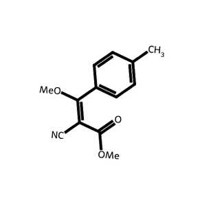 COC(=O)C(C#N)=C(OC)c1ccc(C)cc1